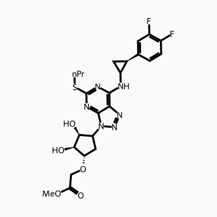 CCCSc1nc(NC2C[C@H]2c2ccc(F)c(F)c2)c2nnn(C3C[C@H](OCC(=O)OC)[C@@H](O)[C@H]3O)c2n1